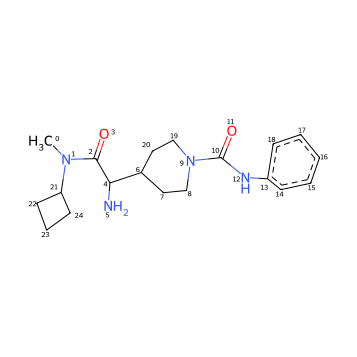 CN(C(=O)C(N)C1CCN(C(=O)Nc2ccccc2)CC1)C1CCC1